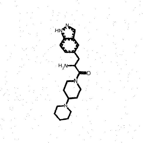 NC(Cc1ccc2[nH]ncc2c1)C(=O)N1CCC(N2CCCCC2)CC1